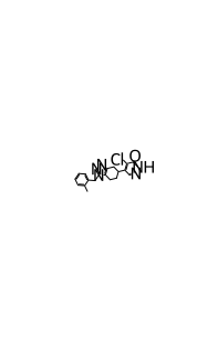 Cc1ccccc1Cn1nnc2c1CCC(c1cn[nH]c(=O)c1Cl)C2